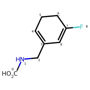 O=C(O)NCC1=CC[CH]C(F)=C1